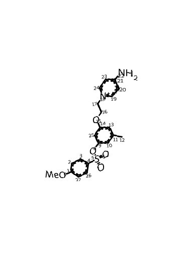 COc1ccc(S(=O)(=O)Oc2cc(C)cc(OCC[n+]3ccc(N)cc3)c2)cc1